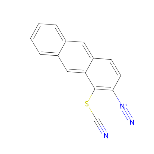 N#CSc1c([N+]#N)ccc2cc3ccccc3cc12